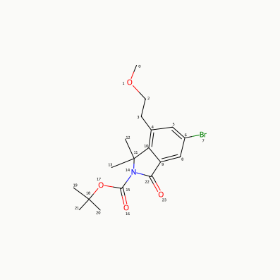 COCCc1cc(Br)cc2c1C(C)(C)N(C(=O)OC(C)(C)C)C2=O